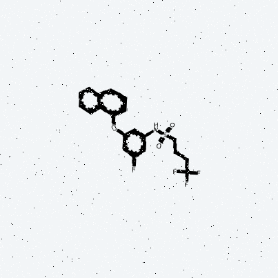 O=S(=O)(CCCC(F)(F)F)Nc1cc(F)cc(Oc2cccc3ccccc23)c1